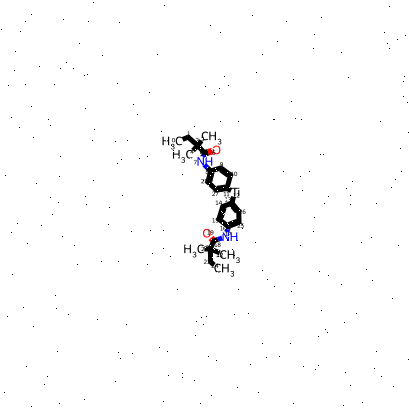 CCC(C)(C)C(=O)Nc1cc[c]([Ti][c]2ccc(NC(=O)C(C)(C)CC)cc2)cc1